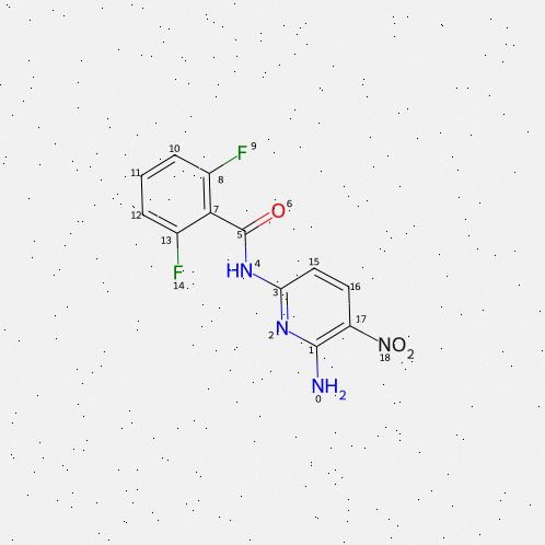 Nc1nc(NC(=O)c2c(F)cccc2F)ccc1[N+](=O)[O-]